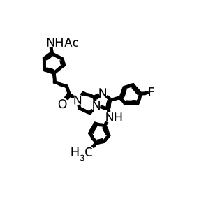 CC(=O)Nc1ccc(CCC(=O)N2CCn3c(nc(-c4ccc(F)cc4)c3Nc3ccc(C)cc3)C2)cc1